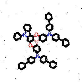 c1ccc(-c2ccc(N(c3ccc(-c4ccccc4)cc3)c3ccc4c(c3)Oc3cc5c(c6c3B4c3ccc(N(c4ccc(-c7ccccc7)cc4)c4ccc(-c7ccccc7)cc4)cc3O6)c3ccccc3n5-c3ccccc3)cc2)cc1